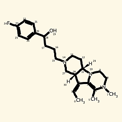 C/C=C1\C2=C(C)N(C)CCN2[C@H]2CCN(CCCC(O)c3ccc(F)cc3)C[C@@H]12